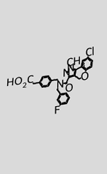 Cn1nc(C(=O)N(Cc2ccc(CC(=O)O)cc2)Cc2cccc(F)c2)c2c1-c1cc(Cl)ccc1OC2